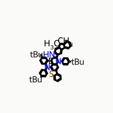 CC(C)(C)c1ccc(N2c3cc4c(sc5ccccc54)c4c3B(c3cc(C(C)(C)C)ccc3N4c3ccc(C(C)(C)C)cc3)c3[nH]c4cc5c(cc4c32)-c2ccccc2C5(C)C)cc1